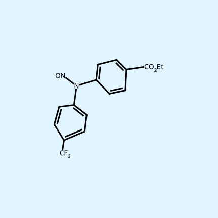 CCOC(=O)c1ccc(N(N=O)c2ccc(C(F)(F)F)cc2)cc1